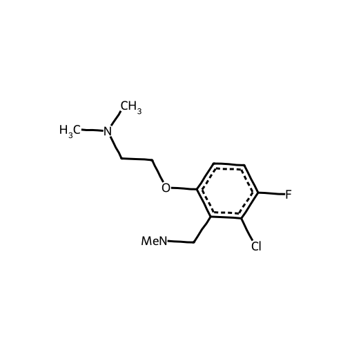 CNCc1c(OCCN(C)C)ccc(F)c1Cl